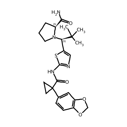 CC(C)(C)[C@@H](c1cnc(NC(=O)C2(c3ccc4c(c3)OCO4)CC2)s1)N1CCC[C@H]1C(N)=O